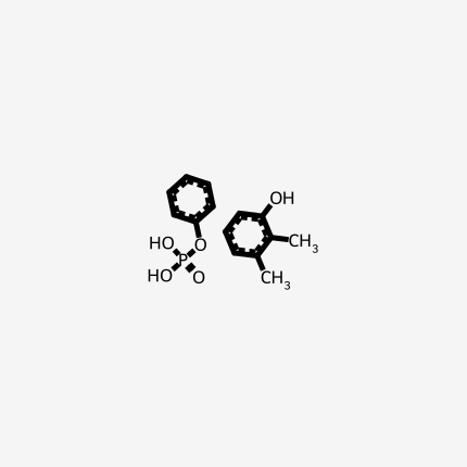 Cc1cccc(O)c1C.O=P(O)(O)Oc1ccccc1